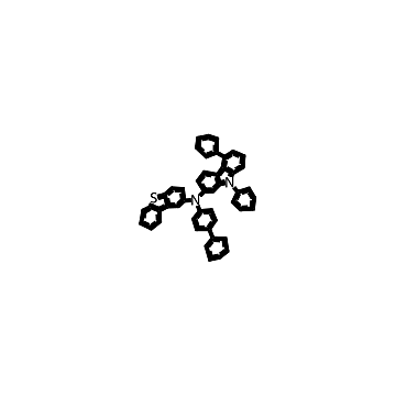 c1ccc(-c2ccc(N(c3ccc4sc5ccccc5c4c3)c3ccc4c5c(-c6ccccc6)cccc5n(-c5ccccc5)c4c3)cc2)cc1